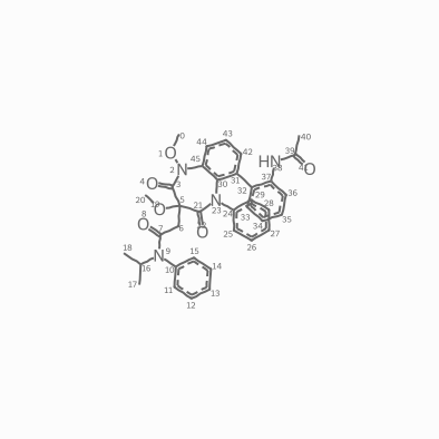 CON1C(=O)C(CC(=O)N(c2ccccc2)C(C)C)(OC)C(=O)N(c2ccccc2)c2c(-c3ccccc3NC(C)=O)cccc21